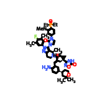 CCP(=O)(CC)c1ccc(-n2ccn(-c3c4c(nn3-c3cc(C)c(F)c(C)c3)CCN(C(=O)/C(=C/c3cc([C@@H]5CCOC(C)(C)C5)ccc3N)C[C@@]3(c5noc(=O)[nH]5)C[C@@H]3C)[C@H]4C)c2=O)cc1NC